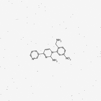 NCc1ccc([N+](=O)[O-])cc1N1C=CC(c2cccnc2)=NC1N